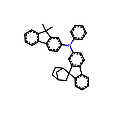 CC1(C)c2ccccc2-c2ccc(N(c3ccccc3)c3ccc4c(c3)C3(CC5CCC3C5)c3ccccc3-4)cc21